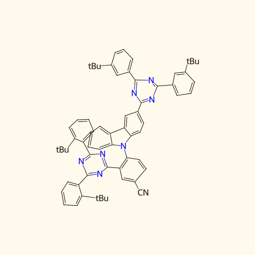 CC(C)(C)c1cccc(-c2nc(-c3cccc(C(C)(C)C)c3)nc(-c3ccc4c(c3)c3ccccc3n4-c3ccc(C#N)cc3-c3nc(-c4ccccc4C(C)(C)C)nc(-c4ccccc4C(C)(C)C)n3)n2)c1